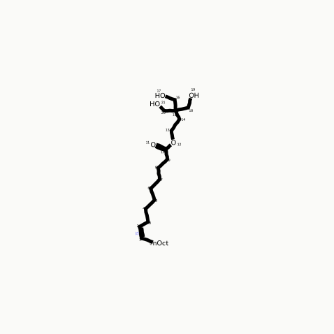 CCCCCCCC/C=C\CCCCCCCC(=O)OCCC(CO)(CO)CO